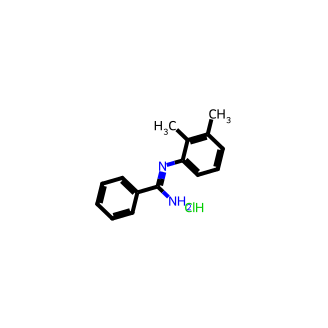 Cc1cccc(N=C(N)c2ccccc2)c1C.Cl